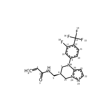 C=CC(=O)NC[C@H]1CN(c2ccc(C(F)(F)F)c(F)c2)c2ccnn2C1